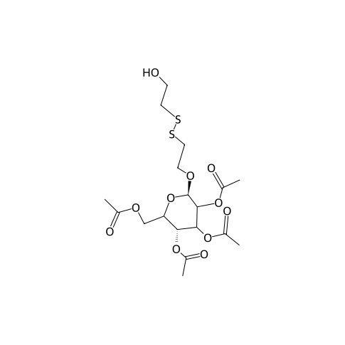 CC(=O)OCC1O[C@@H](OCCSSCCO)C(OC(C)=O)C(OC(C)=O)[C@@H]1OC(C)=O